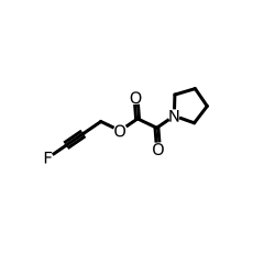 O=C(OCC#CF)C(=O)N1CCCC1